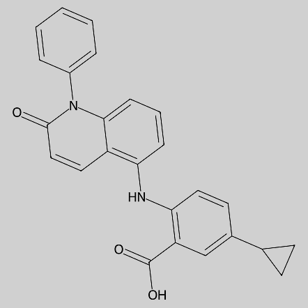 O=C(O)c1cc(C2CC2)ccc1Nc1cccc2c1ccc(=O)n2-c1ccccc1